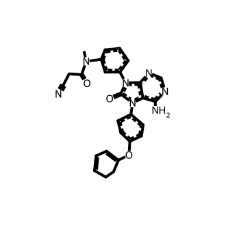 CN(C(=O)CC#N)c1cccc(-n2c(=O)n(-c3ccc(OC4=CC=CCC4)cc3)c3c(N)ncnc32)c1